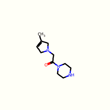 CC1=CCN(CC(=O)N2CCNCC2)C1